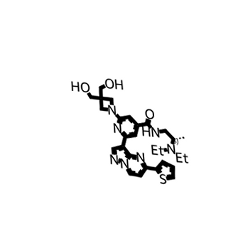 CCN(CC)[C@@H](C)CNC(=O)c1cc(-c2cnn3ccc(-c4cccs4)nc23)nc(N2CC(CO)(CO)C2)c1